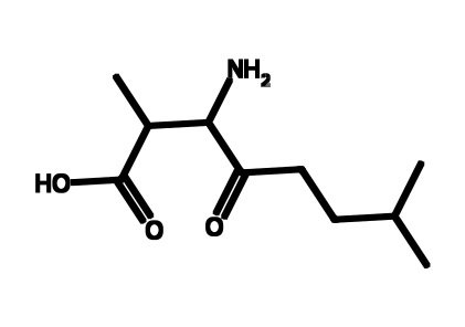 CC(C)CCC(=O)C(N)C(C)C(=O)O